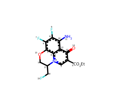 CCOC(=O)c1cn2c3c(c(F)c(F)c(N)c3c1=O)OCC2CF